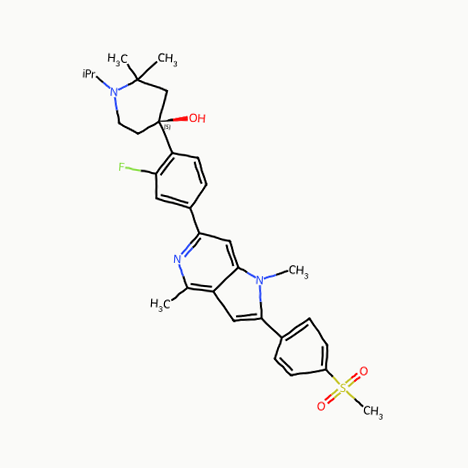 Cc1nc(-c2ccc([C@]3(O)CCN(C(C)C)C(C)(C)C3)c(F)c2)cc2c1cc(-c1ccc(S(C)(=O)=O)cc1)n2C